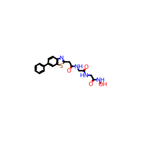 O=C(CNC(=O)CNC(=O)Cc1nc2ccc(-c3ccccc3)cc2s1)NO